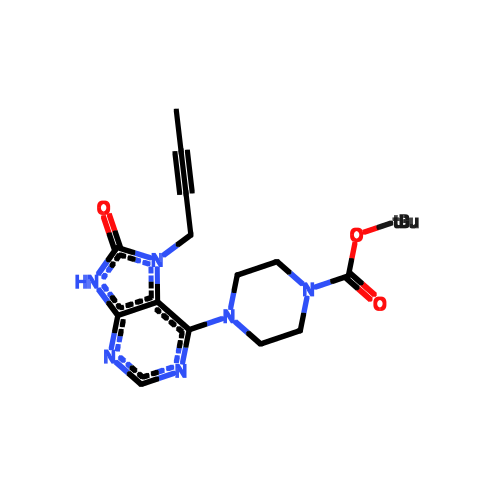 CC#CCn1c(=O)[nH]c2ncnc(N3CCN(C(=O)OC(C)(C)C)CC3)c21